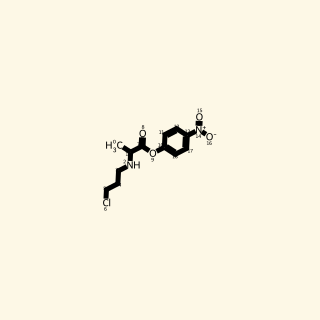 CC(NCCCCl)C(=O)Oc1ccc([N+](=O)[O-])cc1